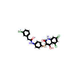 O=C(Cc1cccc(Br)c1)Nc1ccc(Sc2c(O)c3c(Cl)cc(Cl)cc3[nH]c2=O)cc1